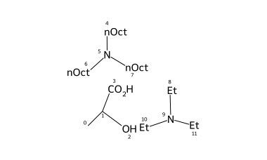 CC(O)C(=O)O.CCCCCCCCN(CCCCCCCC)CCCCCCCC.CCN(CC)CC